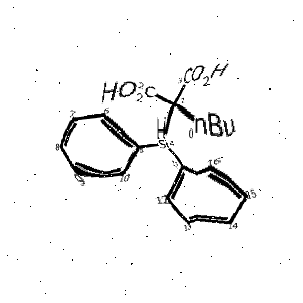 CCCCC(C(=O)O)(C(=O)O)[SiH](c1ccccc1)c1ccccc1